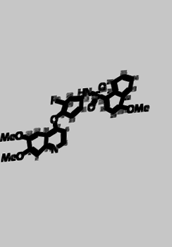 COc1cc2nccc(Oc3ccc(NS(=O)(=O)c4ccc(OC)c5ccccc45)cc3F)c2cc1OC